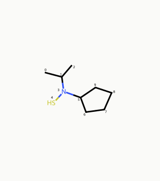 CC(C)N(S)C1CCCC1